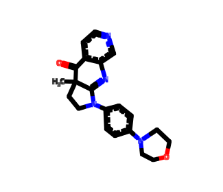 CC12CCN(c3ccc(N4CCOCC4)cc3)C1=Nc1cnccc1C2=O